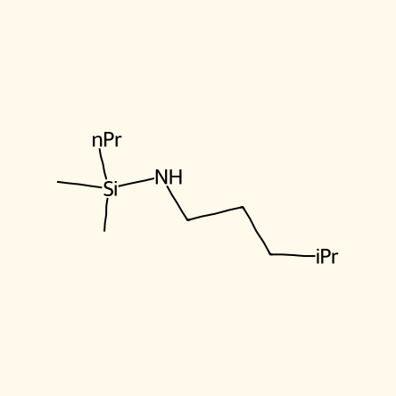 CCC[Si](C)(C)NCCCC(C)C